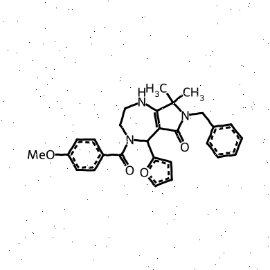 COc1ccc(C(=O)N2CCNC3=C(C(=O)N(Cc4ccccc4)C3(C)C)C2c2ccco2)cc1